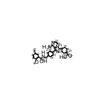 COc1ccc(F)cc1C(O)NCc1ccc(-c2nc([C@]3(C)CC[C@](C)(C(=O)O)CC3)n3ccnc(N)c23)cc1